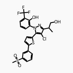 CC(CO)c1nn(-c2cccc(C(F)(F)F)c2O)c(-c2ccc(-c3cccc(S(C)(=O)=O)c3)s2)c1Cl